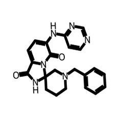 O=C1NC2(CCCN(Cc3ccccc3)C2)n2c1ccc(Nc1ccncn1)c2=O